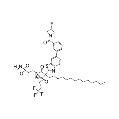 CCCCCCCCCCCCCCC(C(=O)NCCS(N)(=O)=O)(c1nc2ccc(-c3cccc(C(=O)N4CC(F)C4)c3)cc2s1)S(=O)(=O)CCC(F)(F)F